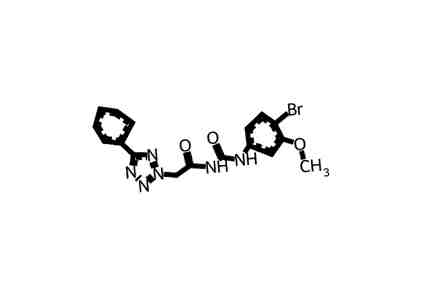 COc1cc(NC(=O)NC(=O)Cn2nnc(-c3ccccc3)n2)ccc1Br